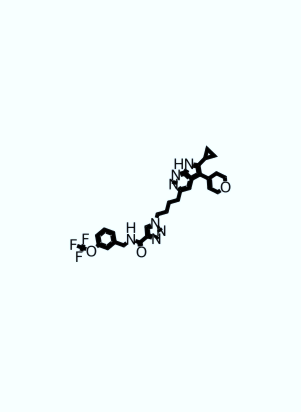 O=C(NCc1cccc(OC(F)(F)F)c1)c1cn(CCCCc2cc3c(C4=CCOCC4)c(C4CC4)[nH]c3nn2)nn1